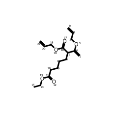 C=CCOC(=C)C(CCCCC(=O)OCC)C(=O)OCC=C